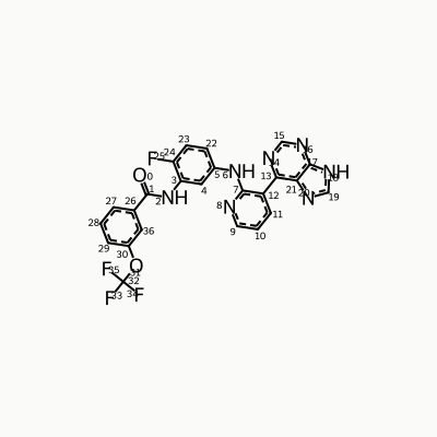 O=C(Nc1cc(Nc2ncccc2-c2ncnc3[nH]cnc23)ccc1F)c1cccc(OC(F)(F)F)c1